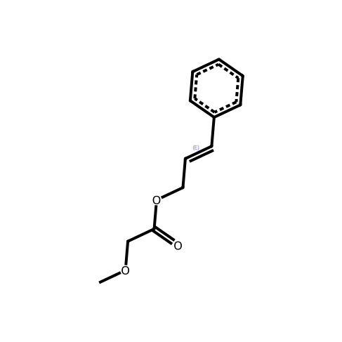 COCC(=O)OC/C=C/c1ccccc1